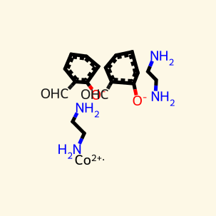 NCCN.NCCN.O=Cc1ccccc1[O-].O=Cc1ccccc1[O-].[Co+2]